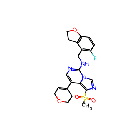 CS(=O)(=O)c1ncn2c(NCc3c(F)ccc4c3CCO4)ncc(C3=CCOCC3)c12